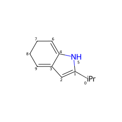 CC(C)c1cc2c([nH]1)=CCCC=2